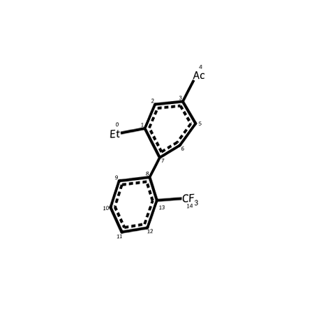 CCc1cc(C(C)=O)ccc1-c1ccccc1C(F)(F)F